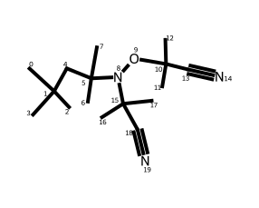 CC(C)(C)CC(C)(C)N(OC(C)(C)C#N)C(C)(C)C#N